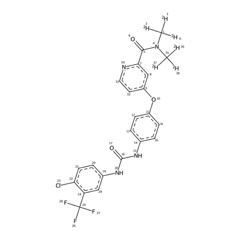 [2H]C([2H])([2H])N(C(=O)c1cc(Oc2ccc(NC(=O)Nc3ccc(Cl)c(C(F)(F)F)c3)cc2)ccn1)C([2H])([2H])[2H]